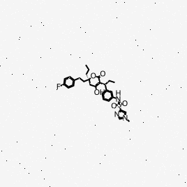 CCC[C@@]1(CCc2ccc(F)cc2)CC(O)=C(C(CC)c2cccc(NS(=O)(=O)c3cn(C)cn3)c2)C(=O)O1